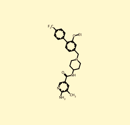 CCOc1cc(CN2CCC(NC(=O)c3cnc(N)c(C)c3)CC2)ccc1-c1ccc(C(F)(F)F)cc1